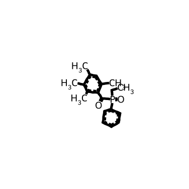 CCP(=O)(C(=O)c1c(C)cc(C)c(C)c1C)c1ccccc1